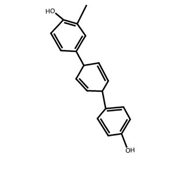 Cc1cc(C2C=CC(c3ccc(O)cc3)C=C2)ccc1O